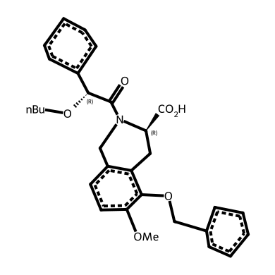 CCCCO[C@@H](C(=O)N1Cc2ccc(OC)c(OCc3ccccc3)c2C[C@@H]1C(=O)O)c1ccccc1